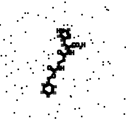 O=C(CCNC(=O)OCc1ccccc1)NC(Cc1c[nH]cn1)C(=O)O